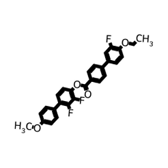 CCOc1ccc(-c2ccc(C(=O)Oc3ccc(-c4ccc(OC)cc4)c(F)c3F)cc2)cc1F